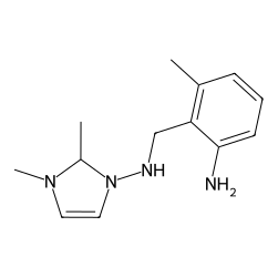 Cc1cccc(N)c1CNN1C=CN(C)C1C